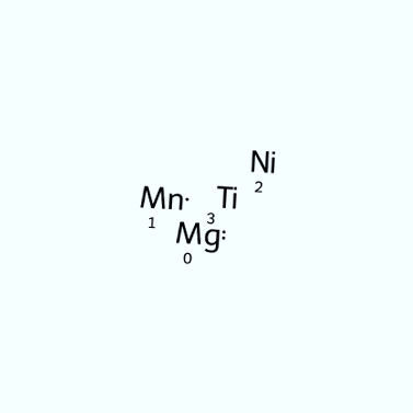 [Mg].[Mn].[Ni].[Ti]